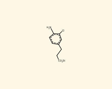 CCOC(=O)CCc1ccc(N)c(Cl)c1